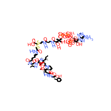 CC[C@H](C)[C@@H]([C@@H](CC(=O)N1CCC[C@H]1[C@H](OC)[C@@H](C)C(=O)N[C@@H](Cc1ccccc1)C(=O)O)OC)N(C)C(=O)[C@@H](NC(=O)[C@H](C(C)C)N(C)C(=O)CCCCCNC(=O)CSC(SCCNC(=O)CCNC(=O)[C@H](O)C(C)(C)COP(=O)(O)OP(=O)(O)OC[C@@H]1O[C@H](n2cnc3c(N)ncnc32)[C@@H](O)[C@H]1OP(=O)(O)O)C(=O)O)C(C)C